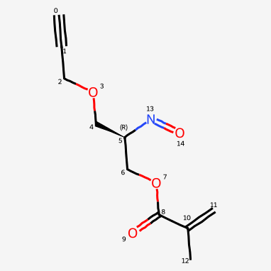 C#CCOC[C@H](COC(=O)C(=C)C)N=O